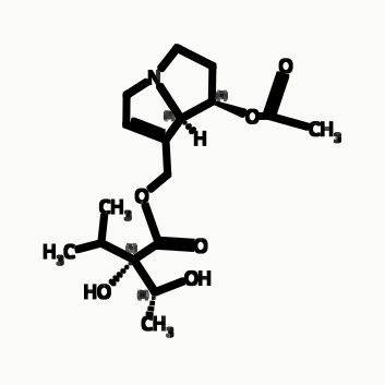 CC(=O)O[C@@H]1CCN2CC=C(COC(=O)[C@](O)(C(C)C)[C@@H](C)O)[C@H]12